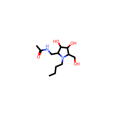 CCCCN1C(CO)C(O)C(O)C1CNC(C)=O